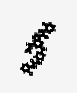 O=C(Nc1ccccc1Cl)N[C@H]1CC[C@H](Nc2cc(NC3CC3)c3ncc(C(=O)Nc4ccncc4F)n3n2)CC1